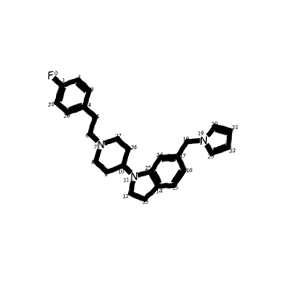 Fc1ccc(CCN2CCC(N3CCc4ccc(Cn5cccc5)cc43)CC2)cc1